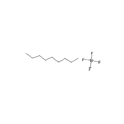 CCCCCCCCC.F[B-](F)(F)F